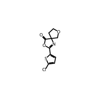 O=C1OC(c2ccc(Cl)s2)=NC12CCOC2